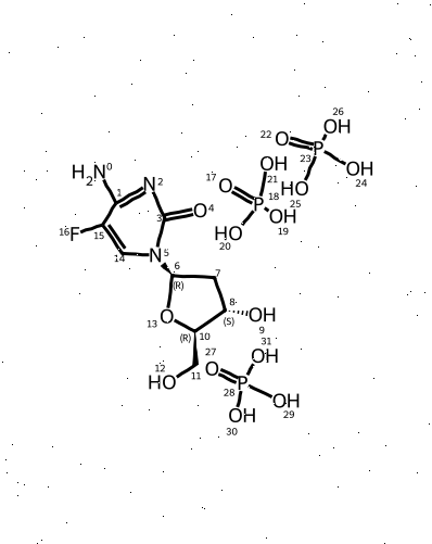 Nc1nc(=O)n([C@H]2C[C@H](O)[C@@H](CO)O2)cc1F.O=P(O)(O)O.O=P(O)(O)O.O=P(O)(O)O